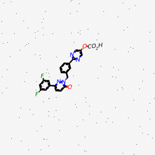 O=C(O)Oc1cnc(-c2cccc(Cn3nc(-c4cc(F)cc(F)c4)ccc3=O)c2)nc1